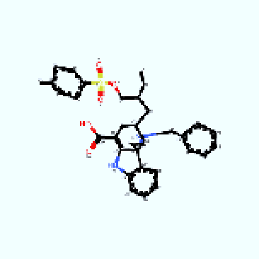 CCC(COS(=O)(=O)c1ccc(C)cc1)CC1CC(C(=O)O)=C2Nc3ccccc3C23CCN(Cc2ccccc2)C13